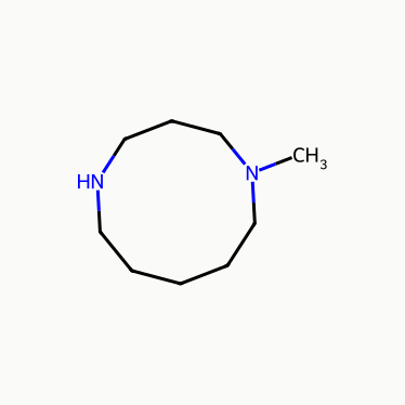 CN1CCCCCNCCC1